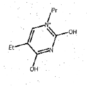 CCc1c[n+](C(C)C)c(O)nc1O